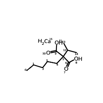 CCCCCC(C(=O)O)(C(=O)O)C(C)C.[CaH2]